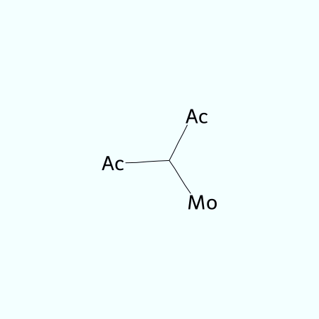 CC(=O)[CH]([Mo])C(C)=O